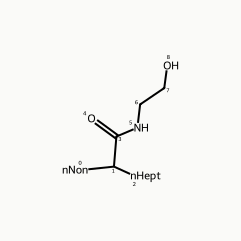 CCCCCCCCCC(CCCCCCC)C(=O)NCCO